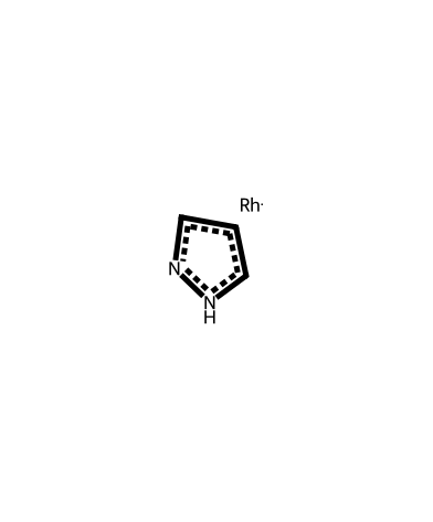 [Rh].c1cn[nH]c1